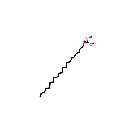 CCCCCCCCCCCCCCCCCCCCCO[SiH](OC)OC